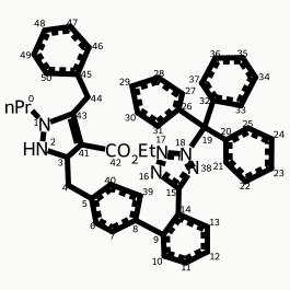 CCCN1NC(Cc2ccc(-c3ccccc3-c3nnn(C(c4ccccc4)(c4ccccc4)c4ccccc4)n3)cc2)C(C(=O)OCC)=C1Cc1ccccc1